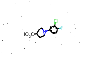 O=C(O)C1CCN(c2ccc(F)c(Cl)c2)CC1